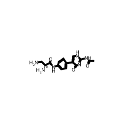 CC(=O)Nc1nc(=O)c(-c2ccc(NC(=O)[C@H](N)CN)cc2)c[nH]1